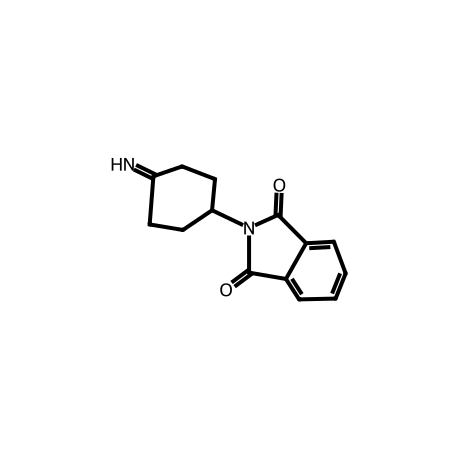 N=C1CCC(N2C(=O)c3ccccc3C2=O)CC1